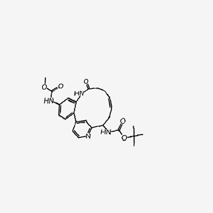 COC(=O)Nc1ccc2c(c1)NC(=O)CCC=CCC(NC(=O)OC(C)(C)C)c1cc-2ccn1